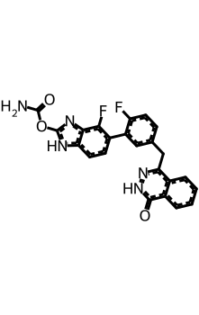 NC(=O)Oc1nc2c(F)c(-c3cc(Cc4n[nH]c(=O)c5ccccc45)ccc3F)ccc2[nH]1